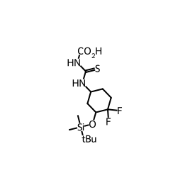 CC(C)(C)[Si](C)(C)OC1CC(NC(=S)NC(=O)O)CCC1(F)F